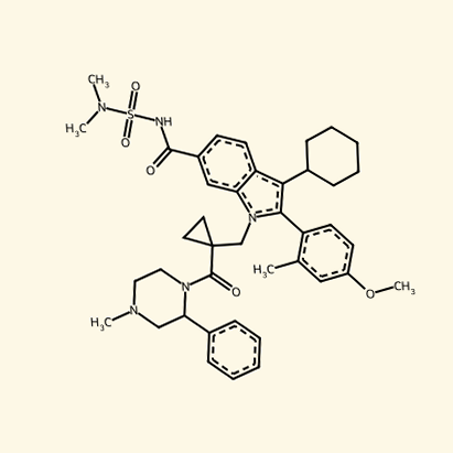 COc1ccc(-c2c(C3CCCCC3)c3ccc(C(=O)NS(=O)(=O)N(C)C)cc3n2CC2(C(=O)N3CCN(C)CC3c3ccccc3)CC2)c(C)c1